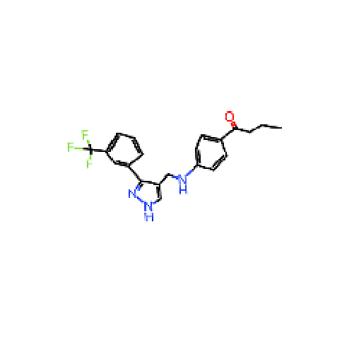 CCCC(=O)c1ccc(NCc2c[nH]nc2-c2cccc(C(F)(F)F)c2)cc1